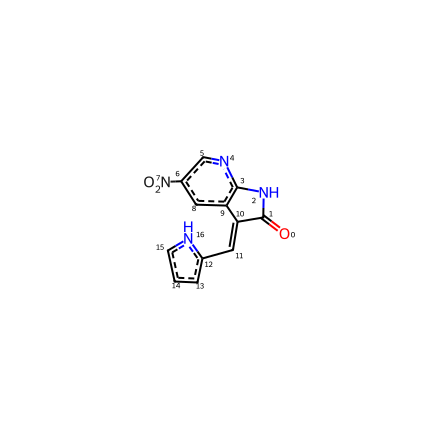 O=C1Nc2ncc([N+](=O)[O-])cc2C1=Cc1ccc[nH]1